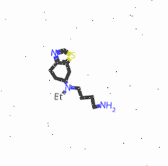 CCN(CCCCN)C1CCc2ncsc2C1